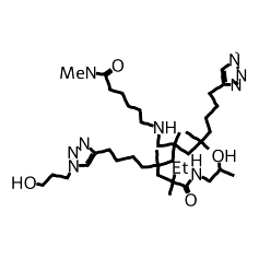 CCC(C)(CC(C)(CCCCc1cn(CCCO)nn1)CC(C)(CNCCCCCC(=O)NC)CC(C)(C)CCCCc1cn(C)nn1)C(=O)NCC(C)O